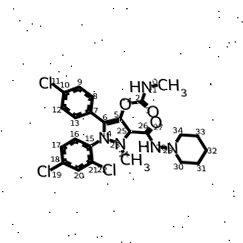 CNC(=O)OC1=C(c2ccc(Cl)cc2)N(c2ccc(Cl)cc2Cl)N(C)C1C(=O)NN1CCCCC1